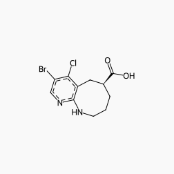 O=C(O)[C@H]1CCCNc2ncc(Br)c(Cl)c2C1